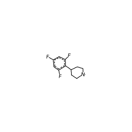 Fc1cc(F)c(C2CC[N]CC2)c(F)c1